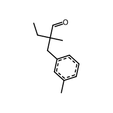 CCC(C)(C=O)Cc1cccc(C)c1